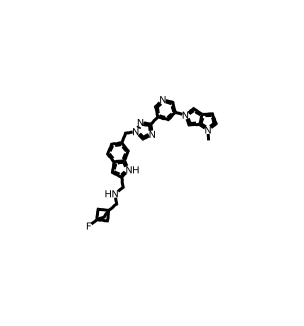 Cn1ccc2cn(-c3cncc(-c4ncn(Cc5ccc6cc(CNCC78CC(F)(C7)C8)[nH]c6c5)n4)c3)cc21